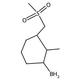 BC1CCCC(CS(C)(=O)=O)C1C